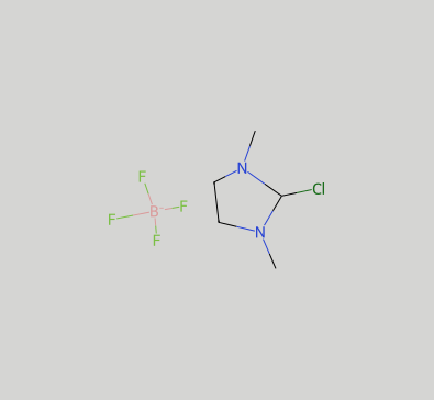 CN1CCN(C)C1Cl.F[B-](F)(F)F